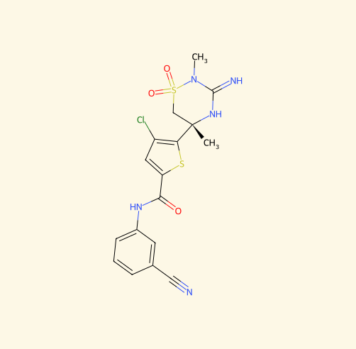 CN1C(=N)N[C@](C)(c2sc(C(=O)Nc3cccc(C#N)c3)cc2Cl)CS1(=O)=O